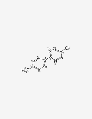 Cc1ccc(-c2ncc(Cl)cn2)cc1